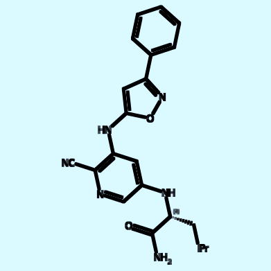 CC(C)C[C@@H](Nc1cnc(C#N)c(Nc2cc(-c3ccccc3)no2)c1)C(N)=O